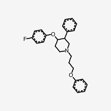 Fc1ccc(OC2CCN(CCCOc3ccccc3)CC2c2ccccc2)cc1